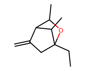 C=C1CC2(CC)OC(C)C1C2C